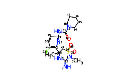 CN1C(=N)N[C@](C)(c2nc(NC(=O)N3CCCCC3)ccc2F)CS1(=O)=O